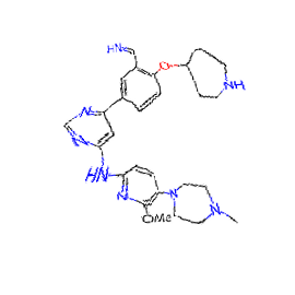 COc1nc(Nc2cc(-c3ccc(OC4CCNCC4)c(C=N)c3)ncn2)ccc1N1CCN(C)CC1